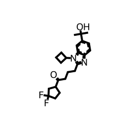 CC(C)(O)c1ccc2nc(CCCC(=O)C3CCC(F)(F)C3)n(C3CCC3)c2c1